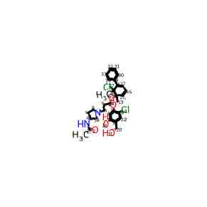 CC(=O)NC1CCN(CCCOC2(COc3cc(O)c(CO)cc3Cl)C=CC=C(c3ccccc3)C2(C)Cl)C1